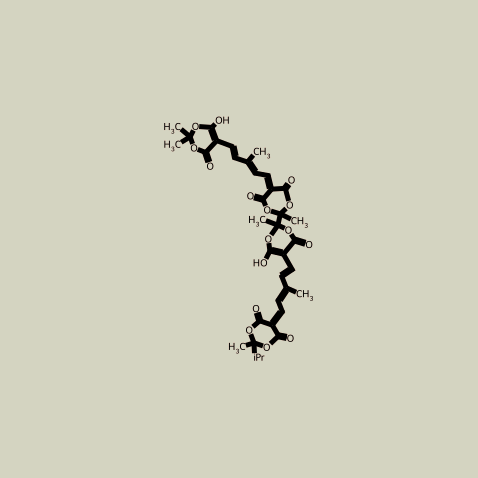 CC(/C=C/C1=C(O)OC(C)(C)OC1=O)=C\C=C1C(=O)OC(C)(C2(C)OC(=O)C(/C=C/C(C)=C/C=C3C(=O)OC(C)(C(C)C)OC3=O)=C(O)O2)OC1=O